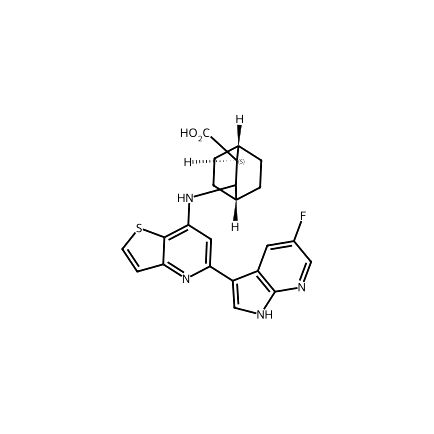 O=C(O)[C@@H]1C(Nc2cc(-c3c[nH]c4ncc(F)cc34)nc3ccsc23)[C@H]2CC[C@@H]1CC2